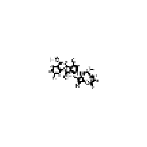 CC[C@@H](Nc1c(Nc2ccc(Cl)c3c2C(=O)N(c2cc(C)ccc2C(=O)O)C3)c(=O)c1=O)c1ccc(C)o1